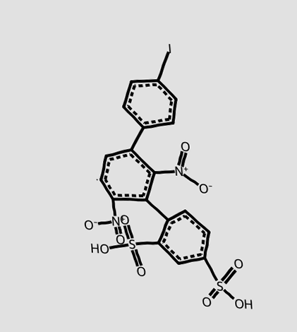 O=[N+]([O-])c1[c]cc(-c2ccc(I)cc2)c([N+](=O)[O-])c1-c1ccc(S(=O)(=O)O)cc1S(=O)(=O)O